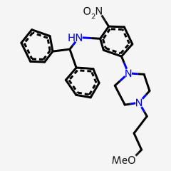 COCCCN1CCN(c2ccc([N+](=O)[O-])c(NC(c3ccccc3)c3ccccc3)c2)CC1